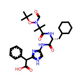 CC(C)(C)ON(C=O)C(C)(C)C(=O)N[C@H](CC1CCCCC1)C(=O)Nc1c[nH]c(C(C(=O)O)c2ccccc2)n1